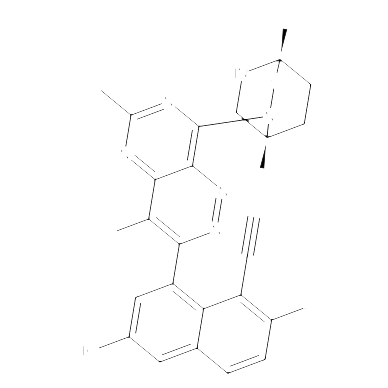 C#Cc1c(F)ccc2cc(O)cc(-c3nnc4c(N5C[C@H]6CC[C@@H]5CN6)nc(C)nc4c3F)c12